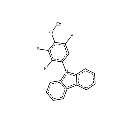 CCOc1c(F)cc(-n2c3ccccc3c3ccccc32)c(F)c1F